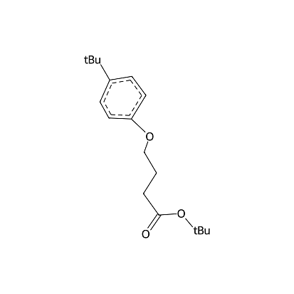 CC(C)(C)OC(=O)CCCOc1ccc(C(C)(C)C)cc1